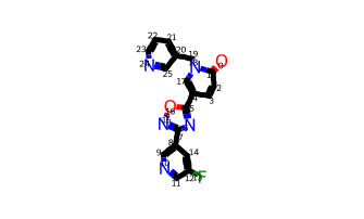 O=c1ccc(-c2nc(-c3cncc(F)c3)no2)cn1Cc1cccnc1